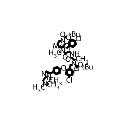 COC[C@H](NC(=O)[C@H](C)N(Cc1c(F)cc(Cl)cc1Oc1ccc(-c2cnc(CN(C)C)n2C)cc1)C(=O)OC(C)(C)C)C(=O)N(C)[C@@]1(Cc2ccc(Cl)cc2)CCCN(C(=O)OC(C)(C)C)C1